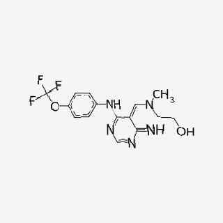 CN(/C=C1\C(=N)N=CN=C1Nc1ccc(OC(F)(F)F)cc1)CCO